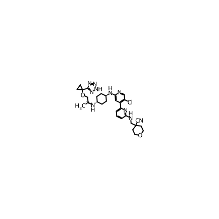 C[C@@H](COC1(c2nn[nH]n2)CC1)N[C@H]1CC[C@H](Nc2cc(-c3cccc(NCC4(C#N)CCOCC4)n3)c(Cl)cn2)CC1